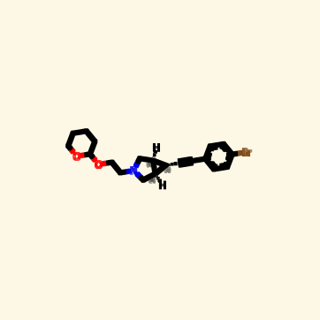 Brc1ccc(C#C[C@@H]2[C@H]3CN(CCOC4CCCCO4)C[C@@H]23)cc1